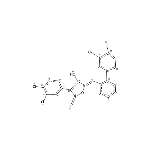 O=C1O/C(=C\c2ccccc2-c2ccc(Cl)c(Cl)c2)C(O)=C1c1ccc(Cl)c(Cl)c1